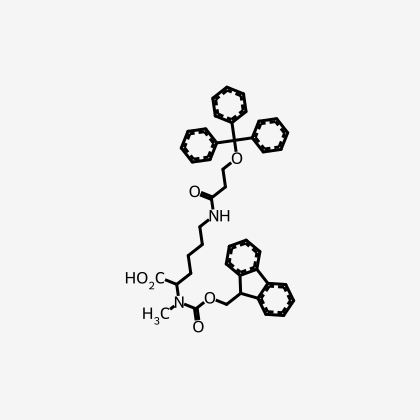 CN(C(=O)OCC1c2ccccc2-c2ccccc21)C(CCCCNC(=O)CCOC(c1ccccc1)(c1ccccc1)c1ccccc1)C(=O)O